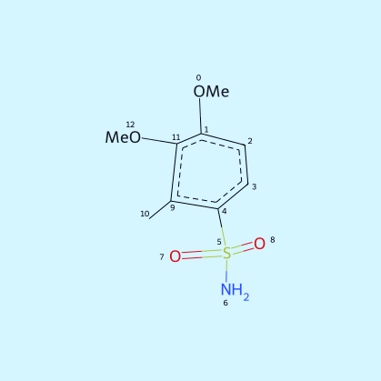 COc1ccc(S(N)(=O)=O)c(C)c1OC